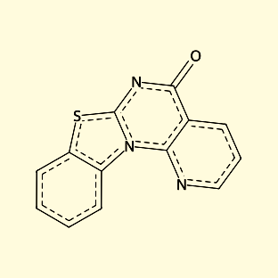 O=c1nc2sc3ccccc3n2c2ncccc12